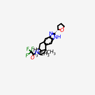 CC1(C)[C@H]2Cc3cc4nc([C@@H]5CCCO5)[nH]c4cc3[C@]1(C)CCN2C(=O)C(F)(F)F